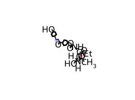 CCC(C)(CC(C)C(=O)NCO)C(=O)OCCNC(=O)Oc1ccc(C(=O)/C=C/c2ccc(O)cc2)cc1